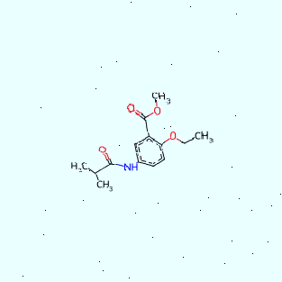 CCOc1ccc(NC(=O)C(C)C)cc1C(=O)OC